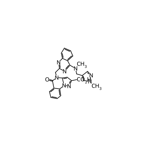 CN(Cc1cnn(C)c1)c1nc(Cn2c(=O)c3ccccc3n3nc(C(=O)O)cc23)nc2ccccc12